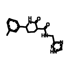 Cc1cccc(C2CCC(C(=O)NCc3nc[nH]n3)C(=O)N2)c1